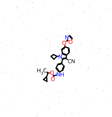 CC(OC(=O)Nc1ccc(-c2c(C#N)c3ccc(Oc4ncco4)cc3n2C2CCC2)cc1)C1CC1